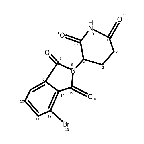 O=C1CCC(N2C(=O)c3cccc(Br)c3C2=O)C(=O)N1